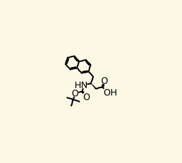 CC(C)(C)OC(=O)N[C@H](CC(=O)O)Cc1ccc2ccccc2c1